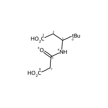 CC(C)(C)C(CC(=O)O)NC(=O)CC(=O)O